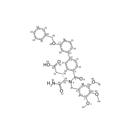 COc1cc(CN(C(=O)c2ccc(-c3cccc(OCc4ccccc4)c3)cc2)[C@@H](CCC(=O)O)C(N)=O)cc(OC)c1OC